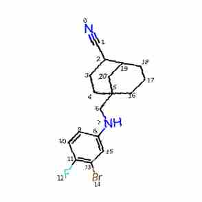 N#CC1CCC2(CNc3ccc(F)c(Br)c3)CCCC1C2